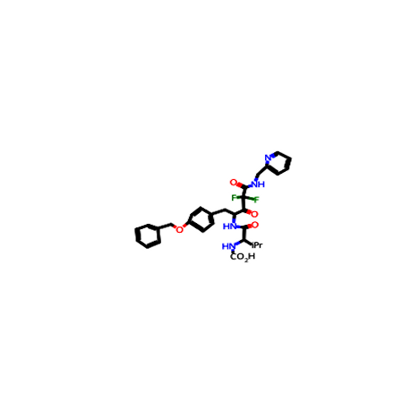 CC(C)C(NC(=O)O)C(=O)NC(Cc1ccc(OCc2ccccc2)cc1)C(=O)C(F)(F)C(=O)NCc1ccccn1